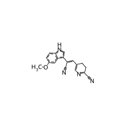 COc1ccc2[nH]cc(/C(C#N)=C/C3=CN=C(C#N)CC3)c2c1